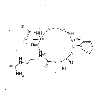 C=C(N)NCCC[C@@H]1NC(=O)[C@](C)(NC(=O)C(C)C)CCCCNC(=O)[C@@H](c2ccccc2)NC(=O)[C@H](CC)NC1=O